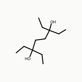 CCC(O)(CC)CCC(O)(CC)CC